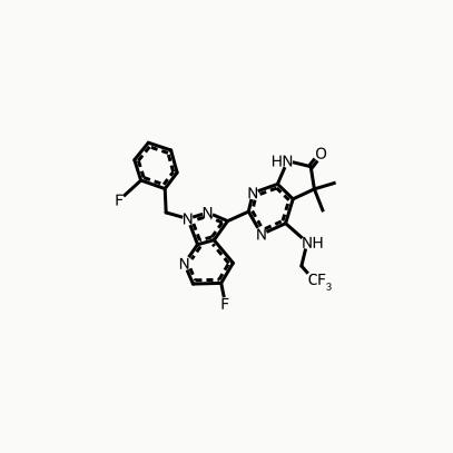 CC1(C)C(=O)Nc2nc(-c3nn(Cc4ccccc4F)c4ncc(F)cc34)nc(NCC(F)(F)F)c21